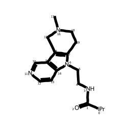 CC(C)C(=O)NCCn1c2c(c3cnccc31)CN(C)CC2